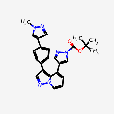 Cn1cc(-c2ccc(-c3cnn4cccc(-c5cnn(C(=O)OC(C)(C)C)c5)c34)cc2)cn1